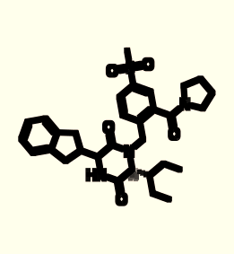 CCC(CC)[C@@H]1C(=O)NC(C2Cc3ccccc3C2)C(=O)N1Cc1ccc(S(C)(=O)=O)cc1C(=O)N1CCCC1